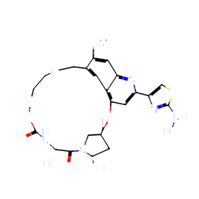 COc1cc2nc(-c3csc(NC(C)C)n3)cc3c2cc1CCCCCOC(=O)N[C@@H](C(C)C)C(=O)N1C[C@@H](C[C@H]1C=O)O3